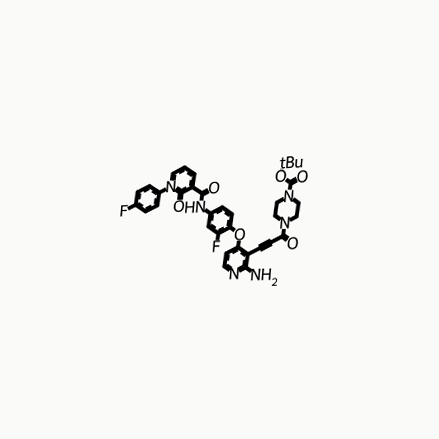 CC(C)(C)OC(=O)N1CCN(C(=O)C#Cc2c(Oc3ccc(NC(=O)c4cccn(-c5ccc(F)cc5)c4=O)cc3F)ccnc2N)CC1